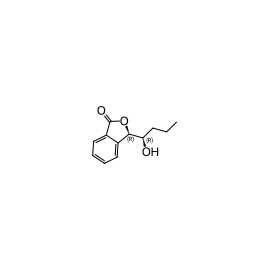 CCC[C@@H](O)[C@@H]1OC(=O)c2ccccc21